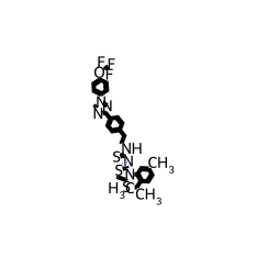 Cc1ccc(C(C)C)c(N2C(=S)CS/C2=N\C(=S)NCCc2ccc(-c3ncn(-c4ccc(OC(F)(F)F)cc4)n3)cc2)c1